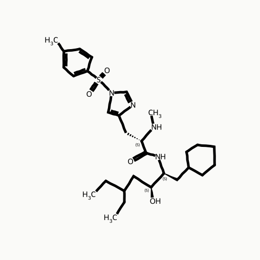 CCC(CC)C[C@H](O)[C@H](CC1CCCCC1)NC(=O)[C@H](Cc1cn(S(=O)(=O)c2ccc(C)cc2)cn1)NC